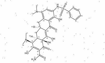 CN(C)c1cc(NS(=O)(=O)c2ccccc2)c(O)c2c1C[C@@H]1C[C@@H]3[C@H](N(C)C)C(O)=C(C(N)=O)C(=O)[C@@]3(O)C(O)=C1C2=O